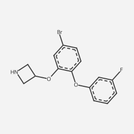 Fc1cccc(Oc2ccc(Br)cc2OC2CNC2)c1